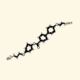 CCCCCC/C=C/Oc1ccc(-c2ccc(C(=O)Oc3ccc(OCCC[C@@H](C)CC)cc3)cc2)cc1